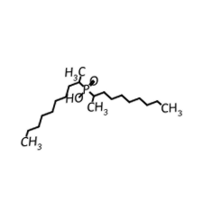 CCCCCCCCC(C)P(=O)(O)C(C)CCCCCCCC